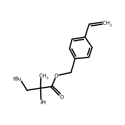 C=Cc1ccc(COC(=O)C(C)(CC(C)(C)C)C(C)C)cc1